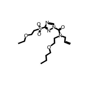 C=CCN(CCOCCCC)C(=O)n1cnc(S(=O)(=O)CCOCC)n1